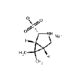 CC1(C)[C@@H]2[C@H](S(=O)(=O)[O-])NC[C@@H]21.[Na+]